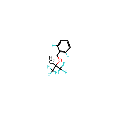 CC(OCc1c(F)cccc1F)(C(F)(F)F)C(F)(F)F